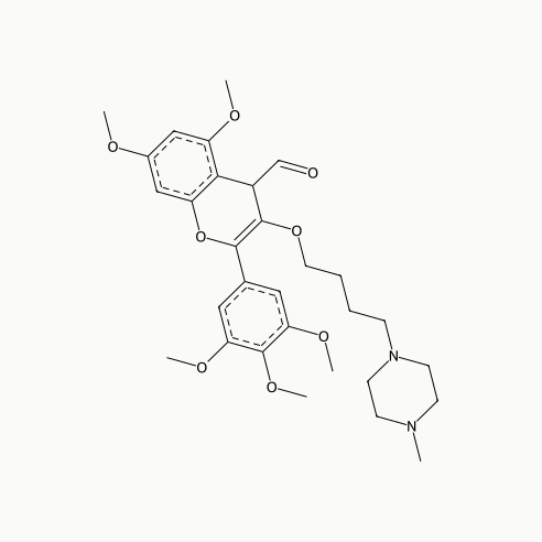 COc1cc(OC)c2c(c1)OC(c1cc(OC)c(OC)c(OC)c1)=C(OCCCCN1CCN(C)CC1)C2C=O